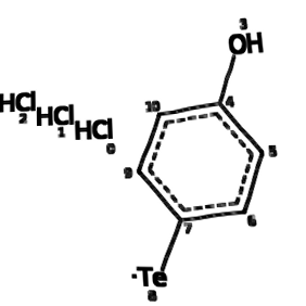 Cl.Cl.Cl.Oc1ccc([Te])cc1